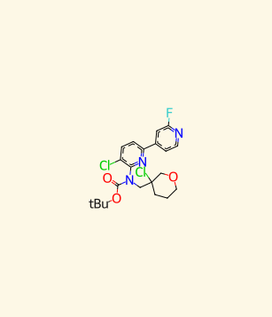 CC(C)(C)OC(=O)N(CC1(Cl)CCCOC1)c1nc(-c2ccnc(F)c2)ccc1Cl